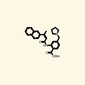 COC(=O)c1ccc(CN2CCCC2)cc1NC(=O)/C=C(/C)c1ccc2ccccc2c1